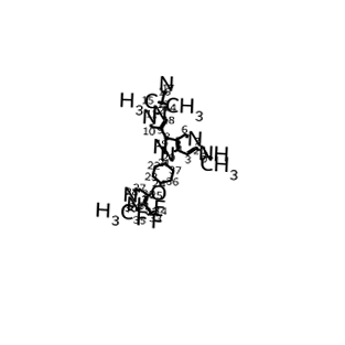 CNc1cc2c(cn1)c(-c1cnn(C(C)(C)C#N)c1)nn2C1CCC(Oc2cnn(C)c2C(F)(F)F)CC1